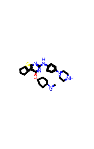 CN(C)[C@H]1CC[C@H](Oc2nc(Nc3ccc(N4CCNCC4)cc3)nc3sc4c(c23)CCC4)CC1